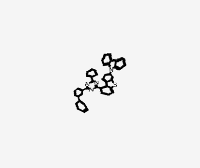 c1ccc(-c2cccc(-c3nc(-c4ccccc4)nc(-c4cccc5sc6cc(-n7c8ccccc8c8ccccc87)ccc6c45)n3)c2)cc1